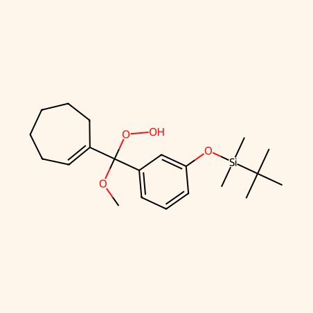 COC(OO)(C1=CCCCCC1)c1cccc(O[Si](C)(C)C(C)(C)C)c1